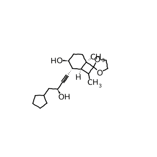 CC1[C@H]2[C@H](C#C[C@@H](O)CC3CCCC3)[C@@H](O)CC[C@@]2(C)C12OCCO2